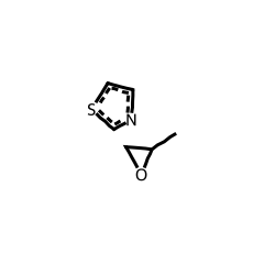 CC1CO1.c1cscn1